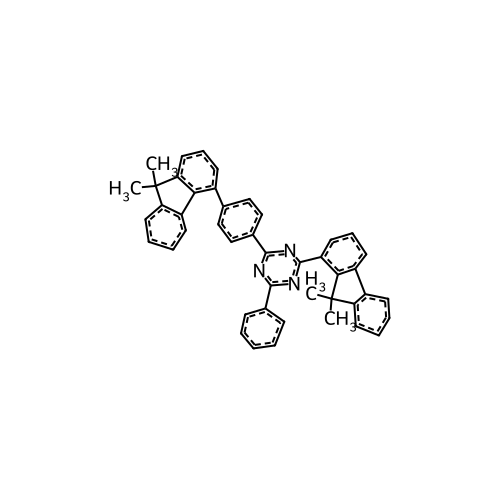 CC1(C)c2ccccc2-c2c(-c3ccc(-c4nc(-c5ccccc5)nc(-c5cccc6c5C(C)(C)c5ccccc5-6)n4)cc3)cccc21